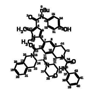 CCCCN(C(=O)c1cc(-c2cc3c(cc2C(=O)N2Cc4ccccc4C[C@H]2CN2CCOCC2)CN(C(=O)Nc2ccccc2)CC3)n(C)c1C)c1ccc(O)cc1